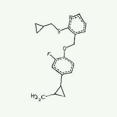 O=C(O)C1CC1c1ccc(OCc2cccnc2SCC2CC2)c(F)c1